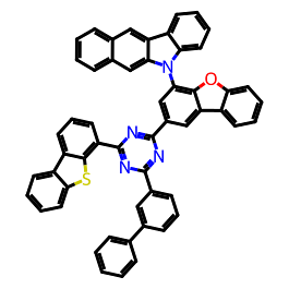 c1ccc(-c2cccc(-c3nc(-c4cc(-n5c6ccccc6c6cc7ccccc7cc65)c5oc6ccccc6c5c4)nc(-c4cccc5c4sc4ccccc45)n3)c2)cc1